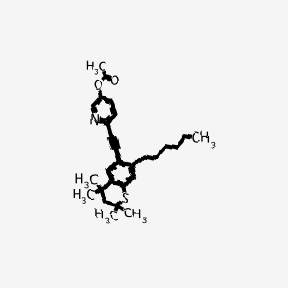 CCCCCCc1cc2c(cc1C#Cc1ccc(OC(C)=O)cn1)C(C)(C)CC(C)(C)S2